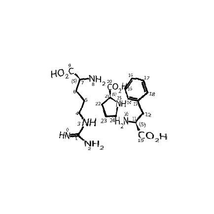 N=C(N)NCCC[C@H](N)C(=O)O.N[C@@H](Cc1ccccc1)C(=O)O.O=C(O)[C@@H]1CCCN1